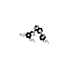 Cc1ccc(N2CCc3ncnc(NCc4cc(C)cc(C)c4)c3C2)nc1